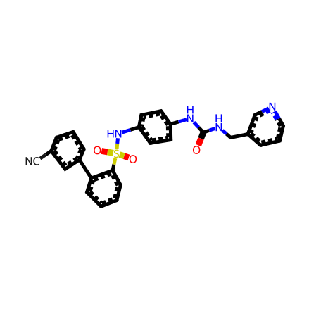 N#Cc1cccc(-c2ccccc2S(=O)(=O)Nc2ccc(NC(=O)NCc3cccnc3)cc2)c1